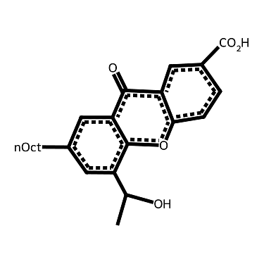 CCCCCCCCc1cc(C(C)O)c2oc3ccc(C(=O)O)cc3c(=O)c2c1